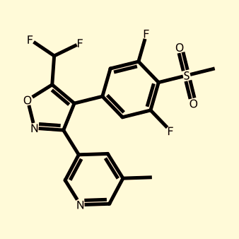 Cc1cncc(-c2noc(C(F)F)c2-c2cc(F)c(S(C)(=O)=O)c(F)c2)c1